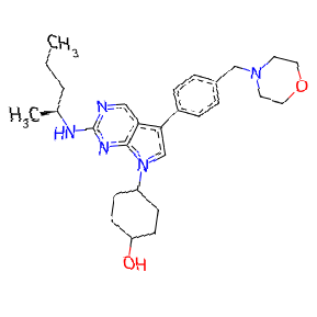 CCC[C@H](C)Nc1ncc2c(-c3ccc(CN4CCOCC4)cc3)cn(C3CCC(O)CC3)c2n1